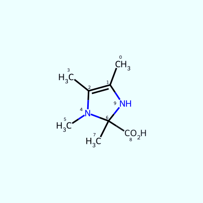 CC1=C(C)N(C)C(C)(C(=O)O)N1